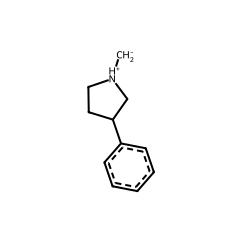 [CH2-][NH+]1CCC(c2ccccc2)C1